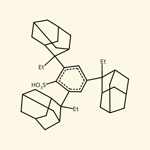 CCC1(c2cc(C3(CC)C4CC5CC(C4)CC3C5)c(S(=O)(=O)O)c(C3(CC)C4CC5CC(C4)CC3C5)c2)C2CC3CC(C2)CC1C3